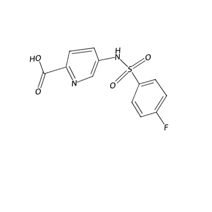 O=C(O)c1ccc(NS(=O)(=O)c2ccc(F)cc2)cn1